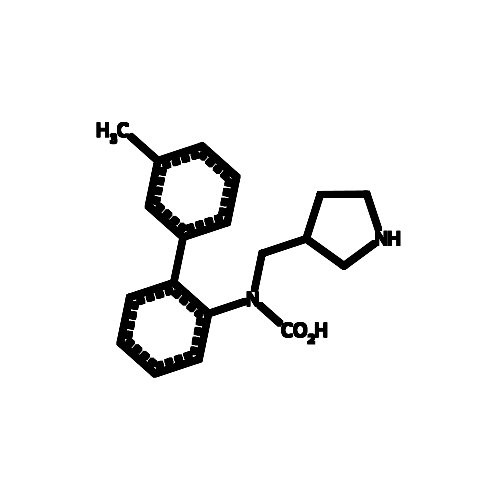 Cc1cccc(-c2ccccc2N(CC2CCNC2)C(=O)O)c1